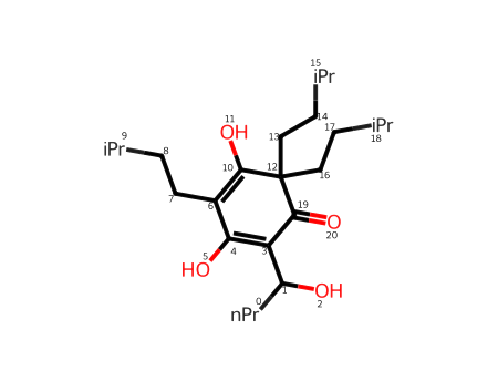 CCCC(O)C1=C(O)C(CCC(C)C)=C(O)C(CCC(C)C)(CCC(C)C)C1=O